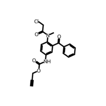 C#CCOC(=O)Nc1ccc(N(C)C(=O)CCl)c(C(=O)c2ccccc2)c1